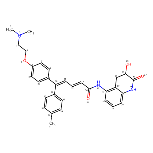 CN(C)CCOc1ccc(/C(=C/C=C/C(=O)Nc2cccc3c2CC(O)C(=O)N3)c2ccc(C(F)(F)F)cc2)cc1